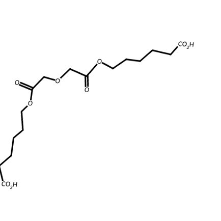 O=C(O)CCCCCOC(=O)COCC(=O)OCCCCCC(=O)O